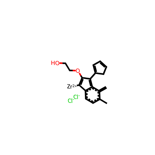 C=c1c(C)ccc2c1=C(C1=CC=CC1)C(OCCO)=[C]2[Zr+2].[Cl-].[Cl-]